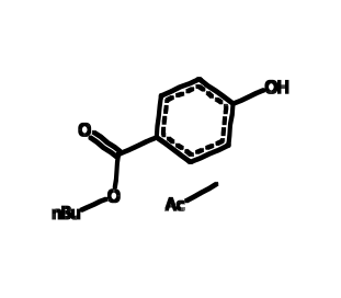 CC(C)=O.CCCCOC(=O)c1ccc(O)cc1